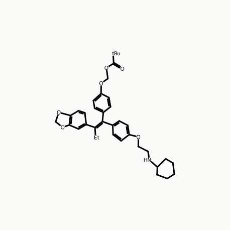 CCC(=C(c1ccc(OCCNC2CCCCC2)cc1)c1ccc(OCOC(=O)C(C)(C)C)cc1)c1ccc2c(c1)OCO2